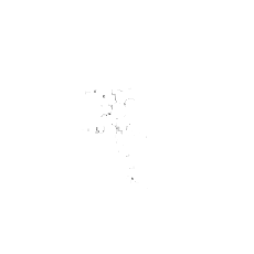 CCOC(=O)[C@H](CCCCCCCN)NC1CSc2ccccc2N(CC(=O)O)C1=O.Cl.Cl